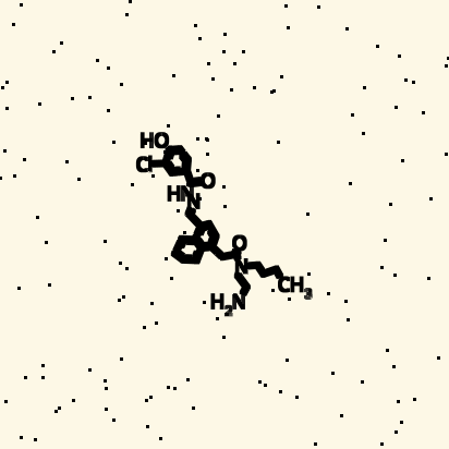 CCCCN(CCN)C(=O)Cc1ccc(/C=N/NC(=O)c2ccc(O)c(Cl)c2)c2ccccc12